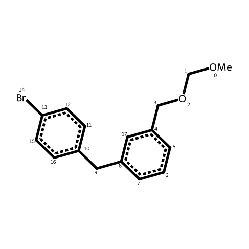 COCOCc1cccc(Cc2ccc(Br)cc2)c1